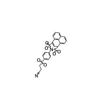 N#CCCS(=O)(=O)c1ccc(N2S(=O)(=O)C3=CC(c4cccc5cccc3c45)S2(=O)=O)cc1